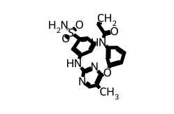 C=CC(=O)Nc1cccc(Oc2nc(Nc3cccc(S(N)(=O)=O)c3)ncc2C)c1